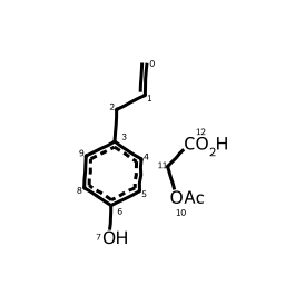 C=CCc1ccc(O)cc1.CC(=O)OCC(=O)O